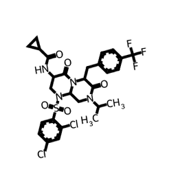 CC(C)N1CC2N(C(=O)C(NC(=O)C3CC3)CN2S(=O)(=O)c2ccc(Cl)cc2Cl)C(Cc2ccc(C(F)(F)F)cc2)C1=O